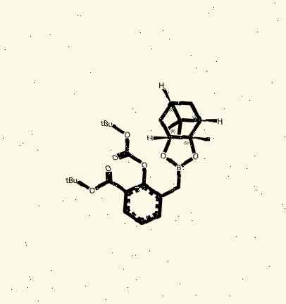 CC(C)(C)OC(=O)Oc1c(CB2O[C@@H]3C[C@@H]4C[C@@H](C4(C)C)[C@]3(C)O2)cccc1C(=O)OC(C)(C)C